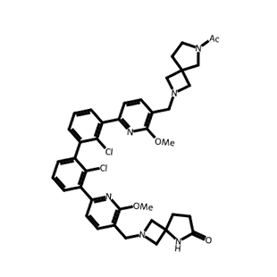 COc1nc(-c2cccc(-c3cccc(-c4ccc(CN5CC6(CCC(=O)N6)C5)c(OC)n4)c3Cl)c2Cl)ccc1CN1CC2(CCN(C(C)=O)C2)C1